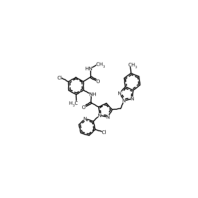 CNC(=O)c1cc(Cl)cc(C)c1NC(=O)c1cc(Cn2nc3ccc(C)cc3n2)nn1-c1ncccc1Cl